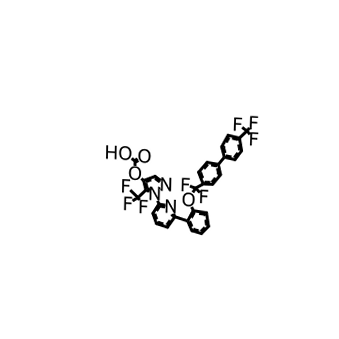 O=C(O)Oc1cnn(-c2cccc(-c3ccccc3OC(F)(F)c3ccc(-c4ccc(C(F)(F)F)cc4)cc3)n2)c1C(F)(F)F